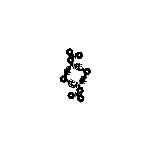 c1ccc(-n2c3ccccc3c3ccc(N4c5ccc(cc5)-c5ccccc5-c5ccc(cc5)N(c5ccc6c7ccccc7n(-c7ccccc7)c6c5)c5ccc(cc5)-c5ccccc5-c5ccc4cc5)cc32)cc1